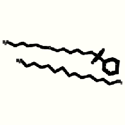 CCCCCCCCCCCCCCP.CCCCCCCCCCCCOS(=O)(=O)c1ccccc1